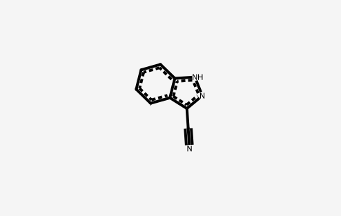 N#Cc1n[nH]c2ccc[c]c12